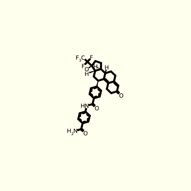 C[C@]12C[C@H](c3ccc(C(=O)Nc4ccc(C(N)=O)cc4)cc3)C3=C4CCC(=O)C=C4CC[C@H]3[C@@H]1CC[C@@]2(O)C(F)(F)C(F)(F)F